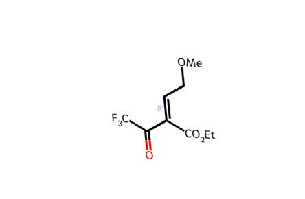 CCOC(=O)/C(=C\COC)C(=O)C(F)(F)F